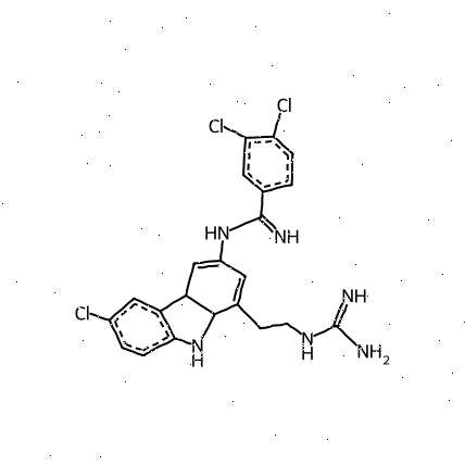 N=C(N)NCCC1=CC(NC(=N)c2ccc(Cl)c(Cl)c2)=CC2c3cc(Cl)ccc3NC12